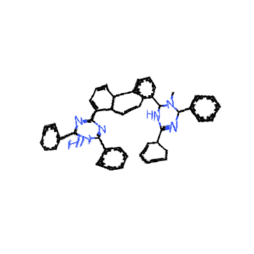 CN1C(c2ccccc2)N=C(C2C=CC=CC2)NC1c1cccc2c1C=CC1C(C3=NC(c4ccccc4)NC(c4ccccc4)=N3)=CC=CC21